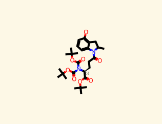 CC1Cc2c([O])cccc2N1C(=O)CC[C@@H](C(=O)OC(C)(C)C)N(C(=O)OC(C)(C)C)C(=O)OC(C)(C)C